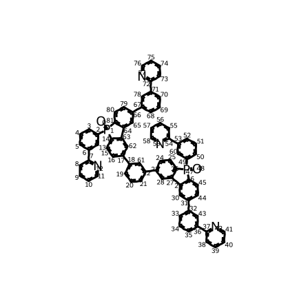 O=P1(c2cccc(-c3ccccn3)c2)c2ccc(-c3cccc(-c4ccc5c(c4)-c4cc(-c6cccc(-c7ccccn7)c6)ccc4P5(=O)c4cccc(-c5ccccn5)c4)c3)cc2-c2cc(-c3cccc(-c4ccccn4)c3)ccc21